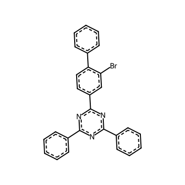 Brc1cc(-c2nc(-c3ccccc3)nc(-c3ccccc3)n2)ccc1-c1ccccc1